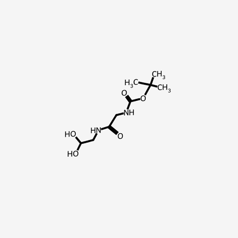 CC(C)(C)OC(=O)NCC(=O)NCC(O)O